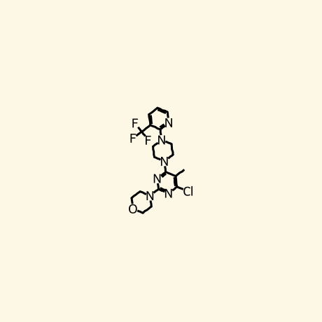 Cc1c(Cl)nc(N2CCOCC2)nc1N1CCN(c2ncccc2C(F)(F)F)CC1